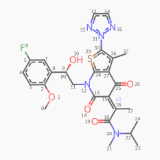 COc1ccc(F)cc1[C@@H](O)CN1C(=O)/C(=C(/C)C(=O)N(C)C(C)C)C(=O)c2c1sc(-n1nccn1)c2C